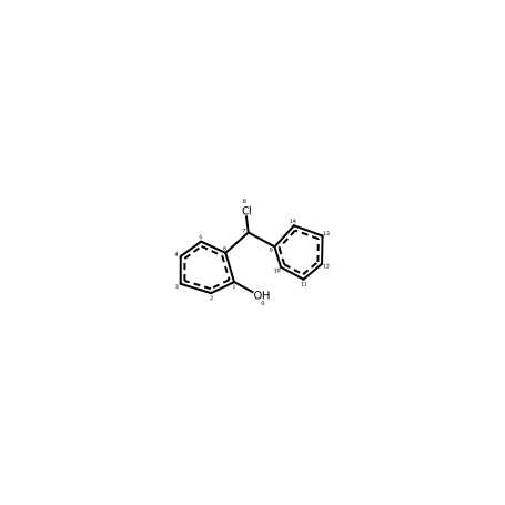 Oc1ccccc1C(Cl)c1ccccc1